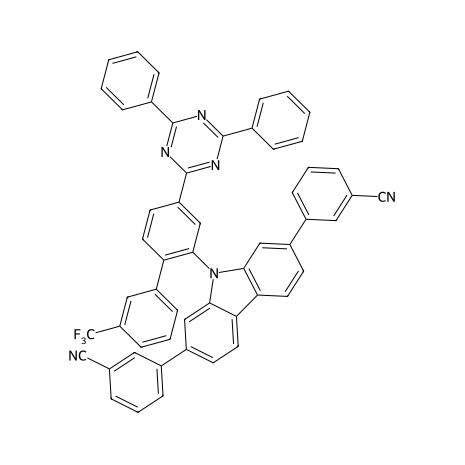 N#Cc1cccc(-c2ccc3c4ccc(-c5cccc(C#N)c5)cc4n(-c4cc(-c5nc(-c6ccccc6)nc(-c6ccccc6)n5)ccc4-c4cccc(C(F)(F)F)c4)c3c2)c1